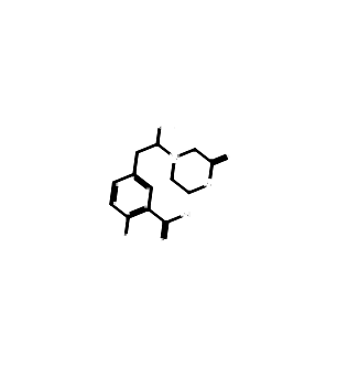 CCc1ccc(CC(C)N2CCNC(=O)C2)cc1C(N)=O